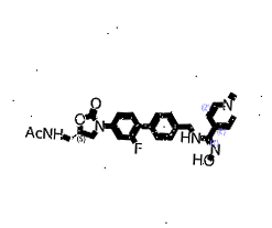 C=N\C=C/C(=C\C)C(=N/O)/NCc1ccc(-c2ccc(N3C[C@H](CNC(C)=O)OC3=O)cc2F)cc1